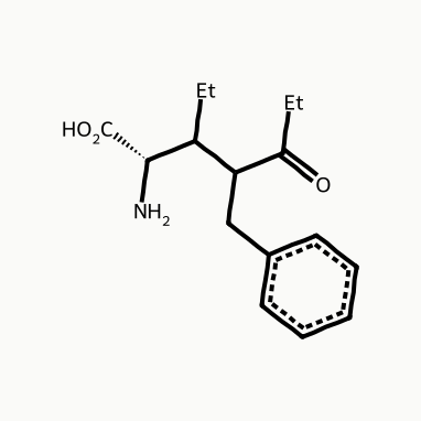 CCC(=O)C(Cc1ccccc1)C(CC)[C@H](N)C(=O)O